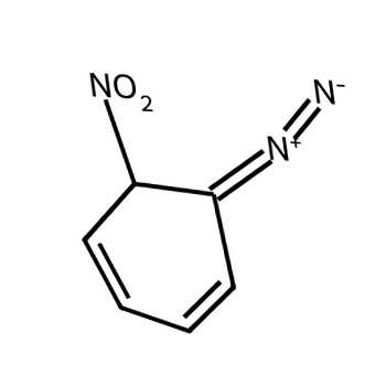 [N-]=[N+]=C1C=CC=CC1[N+](=O)[O-]